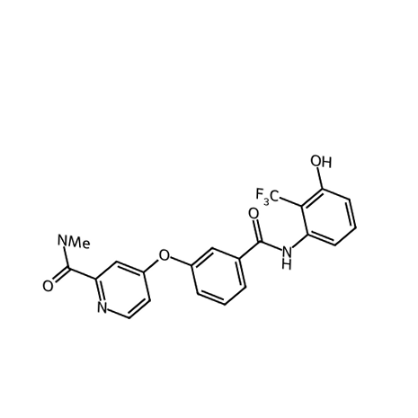 CNC(=O)c1cc(Oc2cccc(C(=O)Nc3cccc(O)c3C(F)(F)F)c2)ccn1